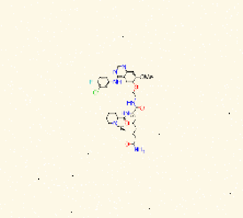 COc1cc2ncnc(Nc3ccc(F)c(Cl)c3)c2cc1OCCNC(=O)[C@H](CCCCCC(N)=O)NC(=O)C1CCCCN1C